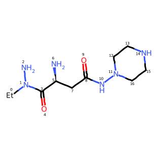 CCN(N)C(=O)[C@@H](N)CC(=O)NN1CCNCC1